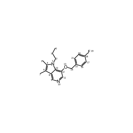 CCCn1c(C)c(C)c2cncc(OCc3ccc(F)cc3)c21